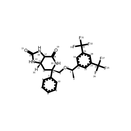 C[C@@H](OC[C@@]1(c2ccccc2)C[C@@H]2NC(=O)NC2C(=O)N1)c1cc(C(F)(F)F)cc(C(F)(F)F)c1